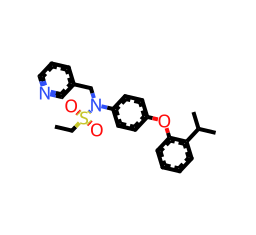 CCS(=O)(=O)N(Cc1cccnc1)c1ccc(Oc2ccccc2C(C)C)cc1